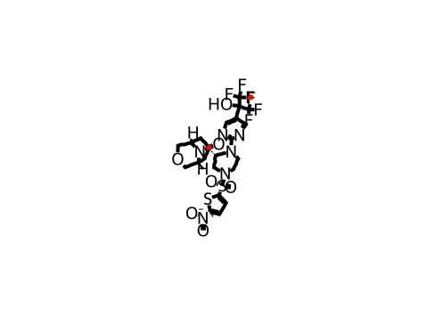 O=C1C[C@H]2COC[C@@H](C1)N2C[C@H]1CN(S(=O)(=O)c2ccc([N+](=O)[O-])s2)CCN1c1ncc(C(O)(C(F)(F)F)C(F)(F)F)cn1